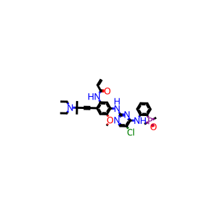 C=CC(=O)Nc1cc(Nc2ncc(Cl)c(Nc3ccccc3P(C)(C)=O)n2)c(OC)cc1C#CC(C)(C)N(CC)CC